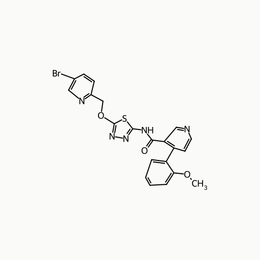 COc1ccccc1-c1ccncc1C(=O)Nc1nnc(OCc2ccc(Br)cn2)s1